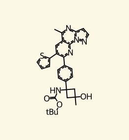 Cc1nc2ccnn2c2nc(-c3ccc(C4(NC(=O)OC(C)(C)C)CC(C)(O)C4)cc3)c(-c3cccs3)cc12